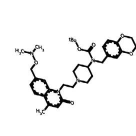 Cc1cc(=O)n(CCN2CCC(N(Cc3ccc4c(c3)OCCO4)C(=O)OC(C)(C)C)CC2)c2cc(CON(C)C)ccc12